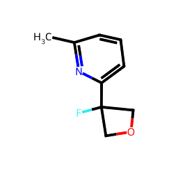 Cc1cccc(C2(F)COC2)n1